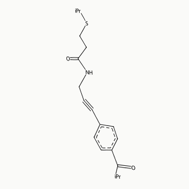 CC(C)SCCC(=O)NCC#Cc1ccc(C(=O)C(C)C)cc1